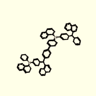 C1=CCC(C(c2cccc3ccccc23)C2C=CC(N(C3=CC=C(C4=CC=C(C(C5=C6C=CC=CC6CC=C5)C5C=CC(N(C6=CCCC=C6)C6=c7ccccc7=CCC6)=CC5)CC4)CC3)C3CC=Cc4ccccc43)=CC2)C=C1